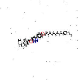 CCCCCCCCCCCCOc1ccc(-c2ccc(OCC(C)CC)nn2)cc1